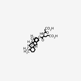 Cc1cc(OC(=O)C(CCC(=O)O)NC(=O)CC(=O)O)cc2c1C1(C)CCC3C(C)(C)CCC[C@]3(C)[C@H]1C2